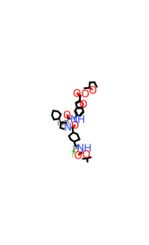 CC(C)(C)OC(=O)N[C@H](CF)C1CCC(C(=O)N2CC[C@@H](C3CCCCC3)[C@@H]2C(=O)Nc2ccc3oc(C(=O)OCC4CCCO4)cc3c2)CC1